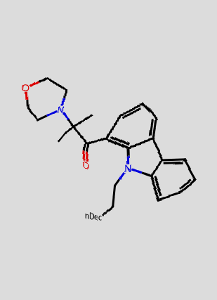 CCCCCCCCCCCCn1c2ccccc2c2cccc(C(=O)C(C)(C)N3CCOCC3)c21